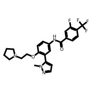 Cn1nccc1-c1cc(NC(=O)c2ccc(C(F)(F)F)c(F)c2)ccc1OCCN1CCCC1